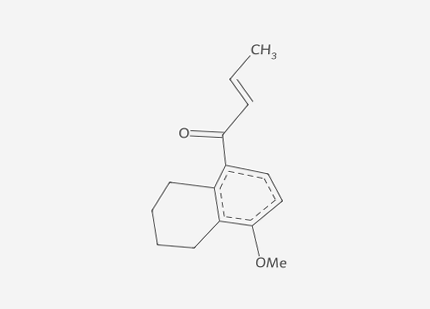 C/C=C/C(=O)c1ccc(OC)c2c1CCCC2